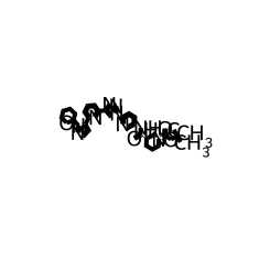 CC(C)(C)OC(=O)N1CCC[C@H](C(=O)Nc2ccc(-n3cc(-c4cccc(-c5ccnn5C5CCCCO5)n4)nn3)nc2)C1